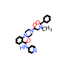 CN(CC(=O)N1CCN(c2ccccc2C(=O)Nc2ccncc2)CC1)C(=O)c1ccccc1